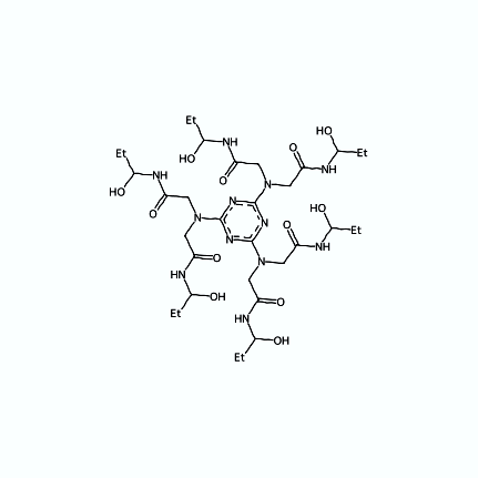 CCC(O)NC(=O)CN(CC(=O)NC(O)CC)c1nc(N(CC(=O)NC(O)CC)CC(=O)NC(O)CC)nc(N(CC(=O)NC(O)CC)CC(=O)NC(O)CC)n1